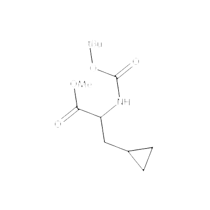 COC(=O)C(CC1CC1)NC(=O)OC(C)(C)C